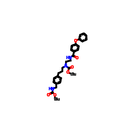 CC(C)(C)OC(=O)NCc1ccc(CCCN(CCNC(=O)c2ccc(Oc3ccccc3)cc2)C(=O)OC(C)(C)C)cc1